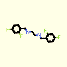 Fc1ccc(/C=N/CC/N=C/c2ccc(F)cc2F)c(F)c1